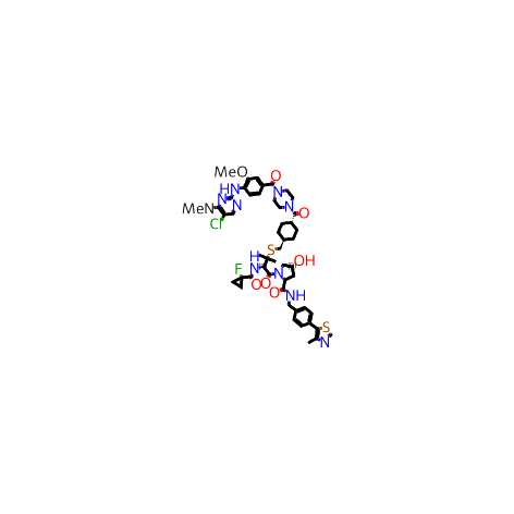 CNc1nc(Nc2ccc(C(=O)N3CCN(C(=O)[C@H]4CC[C@H](CSC(C)(C)[C@H](NC(=O)C5(F)CC5)C(=O)N5C[C@H](O)CC5C(=O)NCc5ccc(-c6scnc6C)cc5)CC4)CC3)cc2OC)ncc1Cl